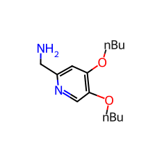 CCCCOc1cnc(CN)cc1OCCCC